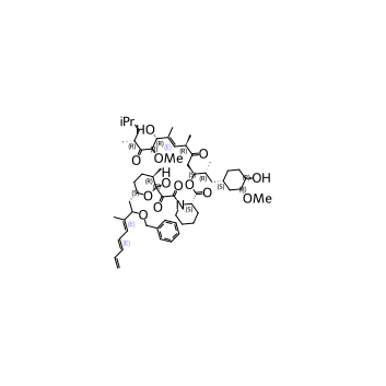 C=C/C=C/C=C(\C)C(C[C@@H]1CC[C@@H](C)[C@](O)(C(=O)C(=O)N2CCCC[C@H]2C(=O)O[C@@H](CC(=O)[C@H](C)/C=C(\C)[C@@H](O)[C@@H](OC)C(=O)[C@H](C)CC(C)C)[C@H](C)C[C@@H]2CC[C@@H](O)[C@H](OC)C2)O1)OCc1ccccc1